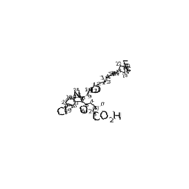 C[C@H](CC(=O)O)CC(=O)c1c(CCOCCCC#CC2CC(F)(F)C2)n(C)c2ccc(Cl)cc12